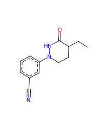 CCC1CCN(c2cccc(C#N)c2)NC1=O